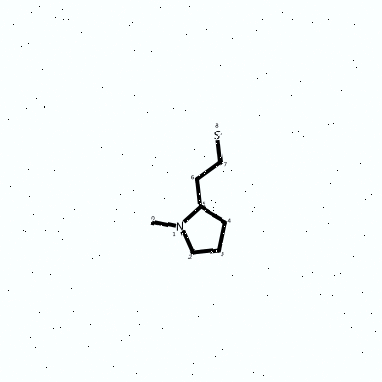 CN1CCCC1CC[S]